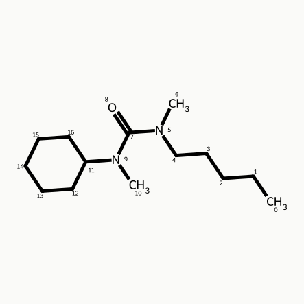 CCCCCN(C)C(=O)N(C)C1CCCCC1